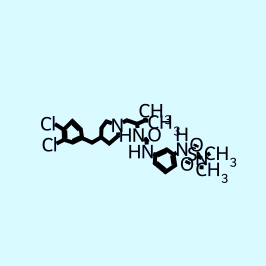 CC(C)C(CN1CCC(Cc2ccc(Cl)c(Cl)c2)CC1)NC(=O)Nc1cccc(NS(=O)(=O)N(C)C)c1